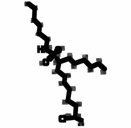 CCCCCCNS(=O)(=O)C(CCCCCC)CCCCCCC(C)Cl